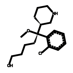 CO[C@](CCCCO)(c1ccccc1Cl)[C@@H]1CCCNC1